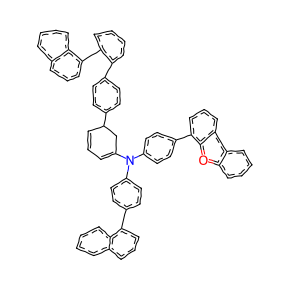 C1=CC(c2ccc(-c3ccccc3-c3cccc4ccccc34)cc2)CC(N(c2ccc(-c3cccc4ccccc34)cc2)c2ccc(-c3cccc4c3oc3ccccc34)cc2)=C1